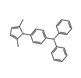 Cc1ccc(C)n1-c1ccc(N(c2ccccc2)c2ccccc2)cc1